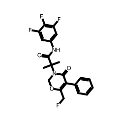 CC(C)(C(=O)Nc1cc(F)c(F)c(F)c1)N1COC(CF)=C(c2ccccc2)C1=O